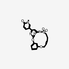 Cn1cc(-c2cc3nc(n2)Oc2cccc(c2)OCC=CCCS(=O)(=O)N3)ccc1=O